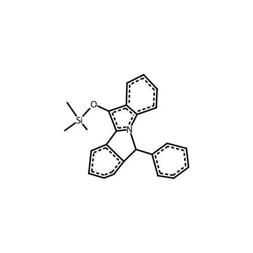 C[Si](C)(C)Oc1c2n(c3ccccc13)C(c1ccccc1)c1ccccc1-2